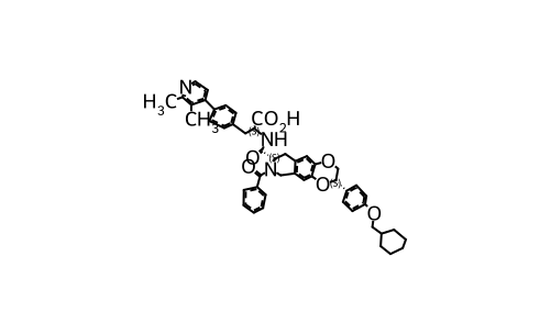 Cc1nccc(-c2ccc(C[C@H](NC(=O)[C@@H]3Cc4cc5c(cc4CN3C(=O)c3ccccc3)O[C@@H](c3ccc(OCC4CCCCC4)cc3)CO5)C(=O)O)cc2)c1C